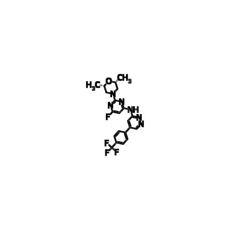 C[C@@H]1CN(c2nc(F)cc(Nc3cc(-c4ccc(C(F)(F)F)cc4)cnn3)n2)C[C@H](C)O1